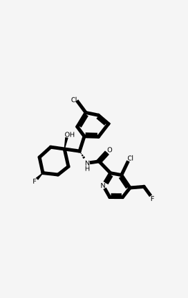 O=C(N[C@@H](c1cccc(Cl)c1)[C@]1(O)CC[C@@H](F)CC1)c1nccc(CF)c1Cl